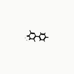 Cc1cc(-c2c(F)c(F)c(F)c(F)c2F)c(C)c2nonc12